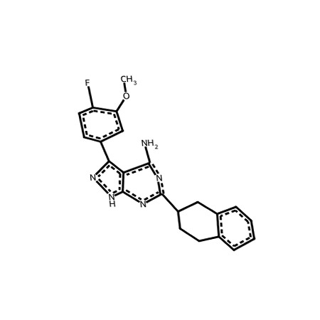 COc1cc(-c2n[nH]c3nc(C4CCc5ccccc5C4)nc(N)c23)ccc1F